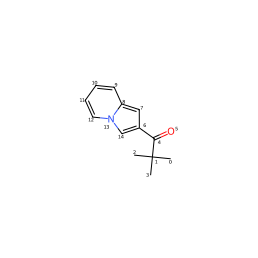 CC(C)(C)C(=O)c1cc2ccccn2c1